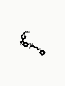 CC(C)(C)CN1CCC(c2coc3ccc(NC(=O)CCCCOc4ccccc4)cc23)CC1